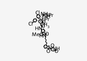 COc1cc(NC(=O)C[C@@]2(C)C[C@H](c3cccc(Cl)c3)[C@@H](c3ccc(Cl)cc3)N([C@@H](CC(=N)NSC(C)C)C(C)C)C2=O)ccc1C(=O)NCCCCCc1cccc2c1CN(C1CCC(=O)NC1=O)C2=O